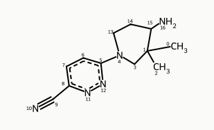 CC1(C)CN(c2ccc(C#N)nn2)CCC1N